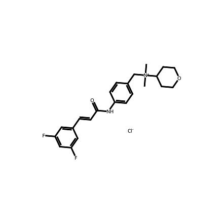 C[N+](C)(Cc1ccc(NC(=O)C=Cc2cc(F)cc(F)c2)cc1)C1CCOCC1.[Cl-]